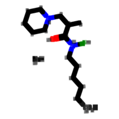 CC(CN1CCCCC1)C(=O)N(F)CCCCCC(=O)O.[NaH]